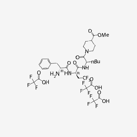 CCCCC(NC(=O)[C@@H](CC(F)(F)F)NC(=O)[C@H](N)Cc1ccccc1)C(=O)N1CCC(C(=O)OC)CC1.O=C(O)C(F)(F)F.O=C(O)C(F)(F)F.O=C(O)C(F)(F)F